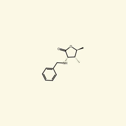 C[C@H]1[C@H](C)OC(=O)[C@H]1NCc1ccccc1